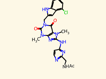 CC(=O)NCc1nccc(Nc2nc3c(c(=O)n(Cc4cc5c(Cl)cccc5[nH]4)c(=O)n3C)n2C)n1